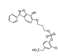 CCCc1c(OCCCOS(=O)(=O)Oc2ccc(CC(=O)O)cc2Cl)ccc2c(-c3ccccc3)noc12